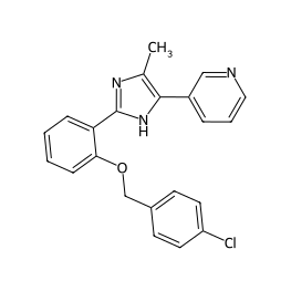 Cc1nc(-c2ccccc2OCc2ccc(Cl)cc2)[nH]c1-c1cccnc1